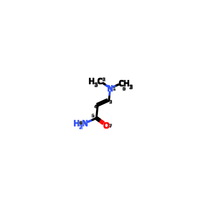 CN(C)C=CC(N)=O